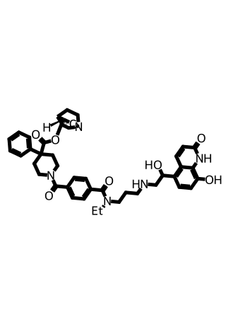 CCN(CCCNCC(O)c1ccc(O)c2[nH]c(=O)ccc12)C(=O)c1ccc(C(=O)N2CCC(C(=O)O[C@H]3CN4CCC3CC4)(c3ccccc3)CC2)cc1